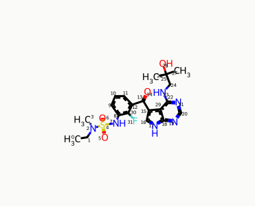 CCN(C)S(=O)(=O)Nc1cccc(C(=O)c2c[nH]c3ncnc(NCC(C)(C)O)c23)c1F